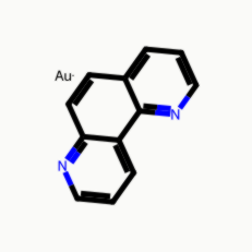 [Au].c1cnc2c(c1)ccc1ncccc12